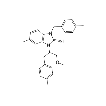 COCC(Cc1ccc(C)cc1)n1c(=N)n(Cc2ccc(C)cc2)c2ccc(C)cc21